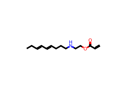 C=CC(=O)OCCNCCCC=CC=CCC